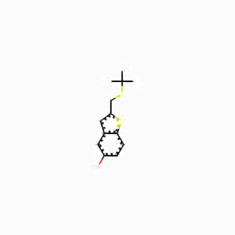 CC(C)(C)SCc1cc2cc(O)ccc2s1